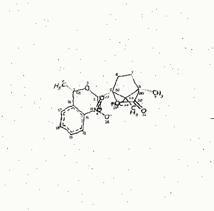 C[C@H](OC(=O)[C@@]12CC[C@@](C)(C(=O)O1)C2(C)C)c1ccccc1[N+](=O)[O-]